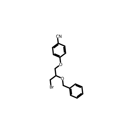 N#Cc1ccc(OCC(CBr)OCc2ccccc2)cc1